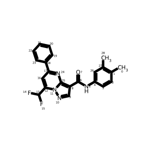 Cc1ccc(NC(=O)c2cnn3c(C(F)F)cc(-c4ccccc4)nc23)cc1C